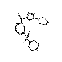 O=C(c1cccc(S(=O)(=O)N2CCOCC2)c1)c1cnc(N2CCCC2)s1